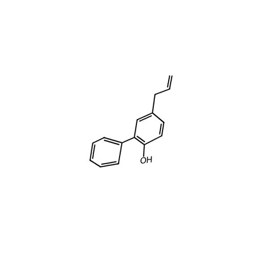 C=CCc1ccc(O)c(-c2ccccc2)c1